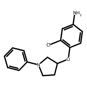 Nc1ccc(OC2CCN(c3ccccc3)C2)c(Cl)c1